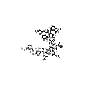 CC[C@H](C)[C@H](NC(=O)[C@H](CCSC)NC(=O)[C@H](CC(N)=O)NC(=O)[C@H](CCC(N)=O)NC(=O)[C@H](Cc1ccc(O)cc1)NC(=O)[C@H](Cc1c[nH]c2ccccc12)NC(=O)[C@@H](N)CCCCN)C(=O)N[C@@H](CCCNC(=N)N)C(=O)O